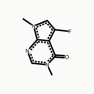 Cn1cnc2c(c(F)cn2C)c1=O